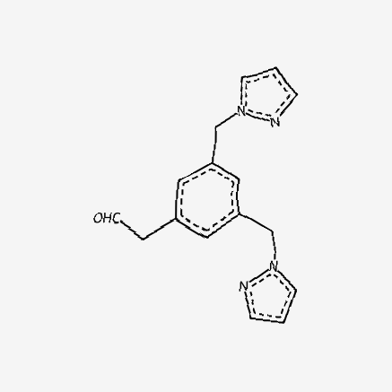 O=CCc1cc(Cn2cccn2)cc(Cn2cccn2)c1